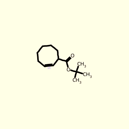 CC(C)(C)OC(=O)C1/C=C\CCCCC1